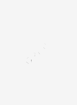 CCc1ccc(-c2nc(CC(=O)NCC(=O)O)cs2)cc1